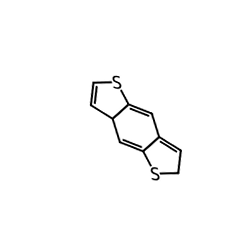 C1=CC2C=C3SCC=C3C=C2S1